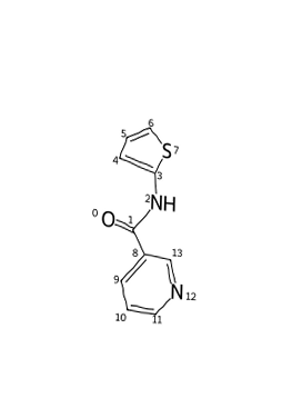 O=C(Nc1cccs1)c1cccnc1